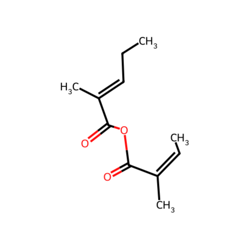 CC=C(C)C(=O)OC(=O)C(C)=CCC